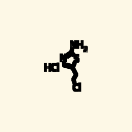 Cl.Nc1ncc(CCCl)s1